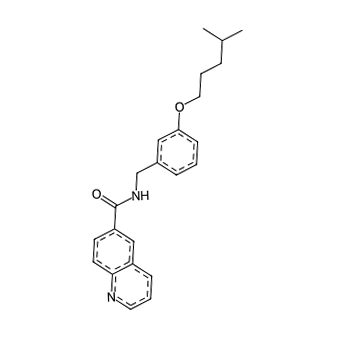 CC(C)CCCOc1cccc(CNC(=O)c2ccc3ncccc3c2)c1